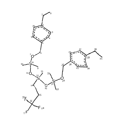 CCc1ccc(CO[Si](C)(C)O[Si](C)(CCC(F)(F)F)O[Si](C)(C)OCc2ccc(CC)cc2)cc1